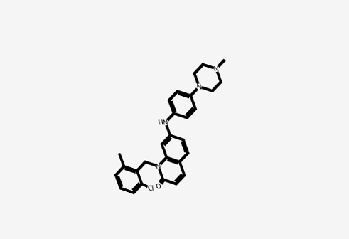 Cc1cccc(Cl)c1Cn1c(=O)ccc2ccc(Nc3ccc(N4CCN(C)CC4)cc3)cc21